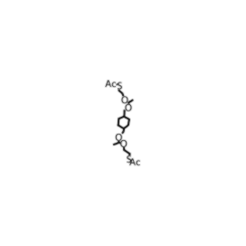 CC(=O)SCCOC(C)OCC1CCC(COC(C)OCCSC(C)=O)CC1